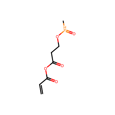 C=CC(=O)OC(=O)CCO[PH](C)=O